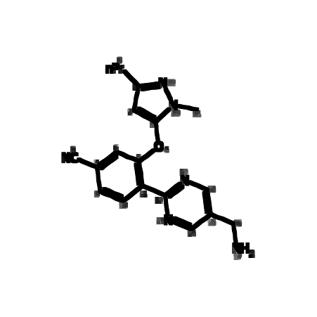 CCCc1cc(Oc2cc(C#N)ccc2-c2ncc(CN)cn2)n(C)n1